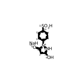 O=c1cc(O)[nH]n1-c1ccc(S(=O)(=O)O)cc1.[NaH]